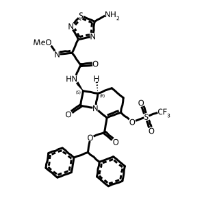 CON=C(C(=O)N[C@@H]1C(=O)N2C(C(=O)OC(c3ccccc3)c3ccccc3)=C(OS(=O)(=O)C(F)(F)F)CC[C@H]12)c1nsc(N)n1